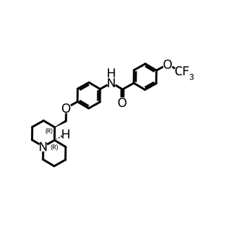 O=C(Nc1ccc(OC[C@@H]2CCCN3CCCC[C@H]23)cc1)c1ccc(OC(F)(F)F)cc1